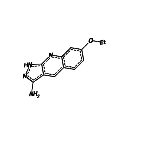 CCOc1ccc2cc3c(N)n[nH]c3nc2c1